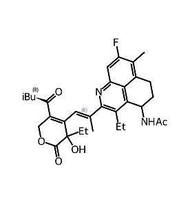 CCc1c(/C(C)=C/C2=C(C(=O)[C@H](C)CC)COC(=O)C2(O)CC)nc2cc(F)c(C)c3c2c1C(NC(C)=O)CC3